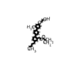 C=C(C)C(=O)OCc1cc(CCCCC)ccc1-c1ccc(-c2ccc(OCCO)cc2C)cc1